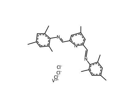 Cc1cc(C=Nc2c(C)cc(C)cc2C)nc(C=Nc2c(C)cc(C)cc2C)c1.[Cl-].[Cl-].[Cl-].[V+3]